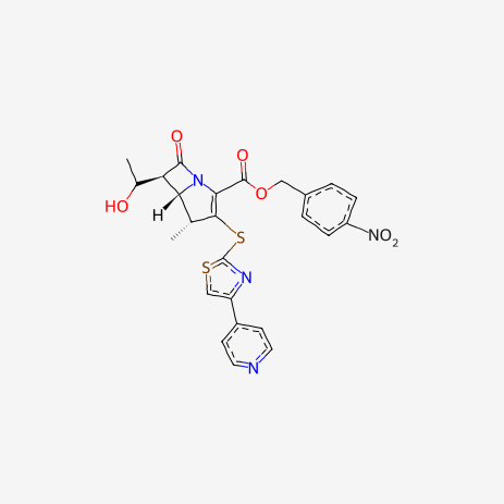 CC(O)[C@H]1C(=O)N2C(C(=O)OCc3ccc([N+](=O)[O-])cc3)=C(Sc3nc(-c4ccncc4)cs3)[C@H](C)[C@H]12